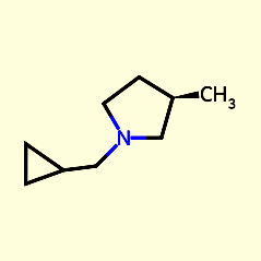 C[C@@H]1CCN(CC2CC2)C1